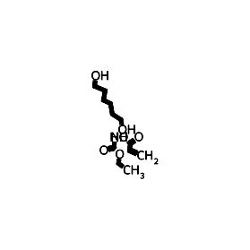 C=CC(=O)O.CCOC(N)=O.OCCCCCCO